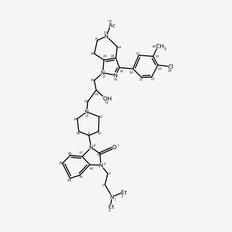 CCN(CC)CCn1c(=O)n(C2CCN(CC(O)Cn3nc(-c4ccc(Cl)c(C)c4)c4c3CCN(C(C)=O)C4)CC2)c2ccccc21